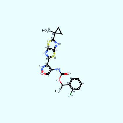 CC(OC(=O)Nc1conc1-c1nc2sc(C3(C(=O)O)CC3)nc2s1)c1ccccc1Cl